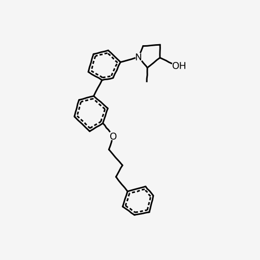 CC1C(O)CCN1c1cccc(-c2cccc(OCCCc3ccccc3)c2)c1